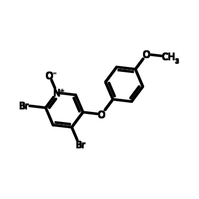 COc1ccc(Oc2c[n+]([O-])c(Br)cc2Br)cc1